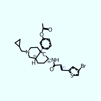 CC(=O)Oc1cccc([C@@]23CCN(CC4CC4)C[C@H]2CC[C@@H](NC(=O)/C=C/c2cc(Br)cs2)C3)c1